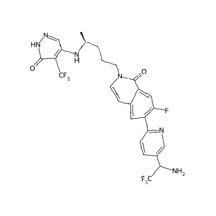 C[C@@H](CCCn1ccc2cc(-c3ccc(C(N)C(F)(F)F)cn3)c(F)cc2c1=O)Nc1cn[nH]c(=O)c1C(F)(F)F